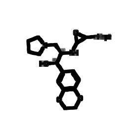 CCCCCCCC1OC1N[C@H](CN1CCCC1)[C@H](O)c1ccc2c(c1)OCCO2